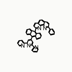 c1ccc(-c2ccc3ccc4ccc(-c5c6ccccc6c(-c6cc(-c7ccccn7)nc(-c7ccccn7)c6)c6ccccc56)nc4c3n2)cc1